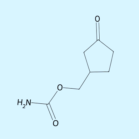 NC(=O)OCC1CCC(=O)C1